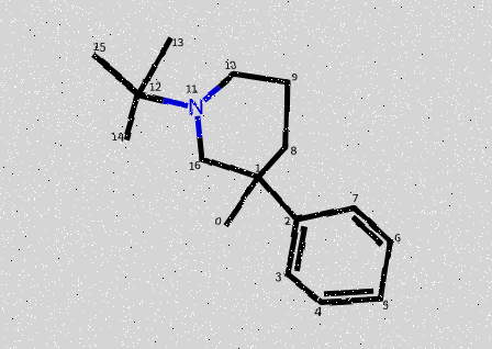 CC1(c2ccccc2)CCCN(C(C)(C)C)C1